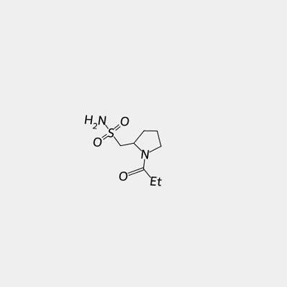 CCC(=O)N1CCCC1CS(N)(=O)=O